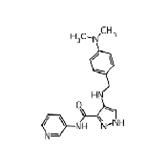 CN(C)c1ccc(CNc2c[nH]nc2C(=O)Nc2cccnc2)cc1